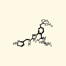 CC(C)Cc1ccc(/C(N)=N/NN)c(N2CC(NCC3=NNCC=C3)C2)c1